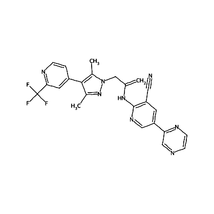 C=C(Cn1nc(C)c(-c2ccnc(C(F)(F)F)c2)c1C)Nc1ncc(-c2cnccn2)cc1C#N